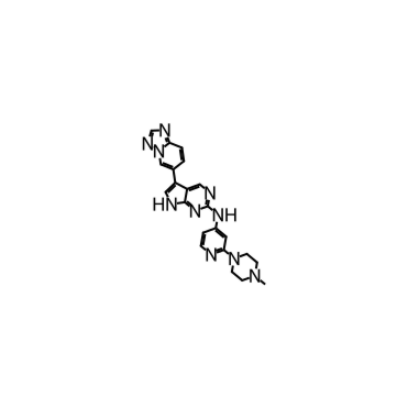 CN1CCN(c2cc(Nc3ncc4c(-c5ccc6ncnn6c5)c[nH]c4n3)ccn2)CC1